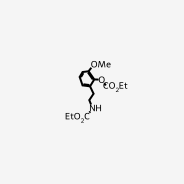 CCOC(=O)NCCc1cccc(OC)c1OC(=O)OCC